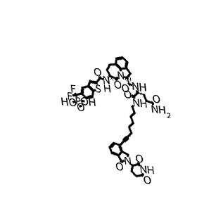 NC(=O)CC[C@H](NC(=O)[C@@H]1Cc2cccc3c2N1C(=O)[C@@H](NC(=O)c1cc2cc(C(F)(F)P(=O)(O)O)ccc2s1)CC3)C(=O)NCCCCCCC#Cc1cccc2c1CN(C1CCC(=O)NC1=O)C2=O